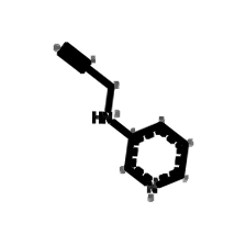 C#CCNc1cccnc1